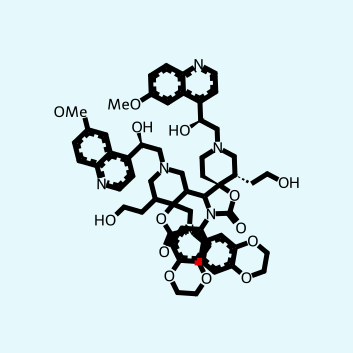 COc1ccc2nccc([C@H](O)CN3CC[C@]4(OC(=O)N(c5ccc6c(c5)OCCO6)C4C4CN(C[C@H](O)c5ccnc6ccc(OC)cc56)CC(CCO)C45CN(c4ccc6c(c4)OCCO6)C(=O)O5)[C@@H](CCO)C3)c2c1